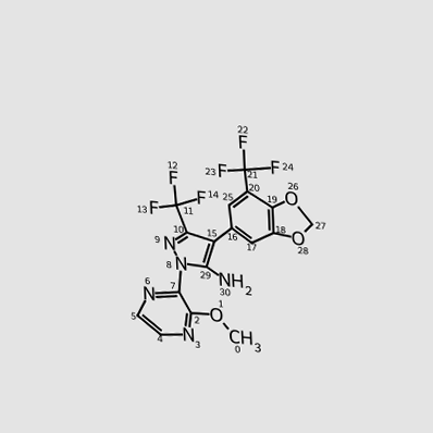 COc1nccnc1-n1nc(C(F)(F)F)c(-c2cc3c(c(C(F)(F)F)c2)OCO3)c1N